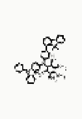 Bc1c(B)c(B)c(N(c2ccc(-c3cccc4c3C(C)(C)c3ccccc3-4)cc2)c2ccc3c(c2)c2ccccc2n3-c2ccccc2)c(B)c1B